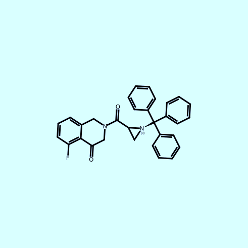 O=C1CN(C(=O)C2C[N@]2C(c2ccccc2)(c2ccccc2)c2ccccc2)Cc2cccc(F)c21